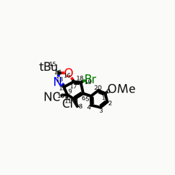 COc1cccc(C2=C(C)C(C#N)(C#N)C3=NC(C(C)(C)C)OC3=C2Br)c1